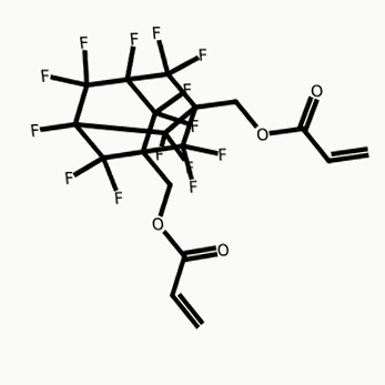 C=CC(=O)OCC12C(F)(F)C3(F)C(F)(F)C(F)(C1(F)F)C(F)(F)C(COC(=O)C=C)(C3(F)F)C2(F)F